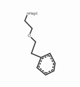 CCCCCCCCCOCCc1ccccc1